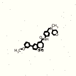 CCOc1cccc(-c2ccc3c(c2)C=C(C(=O)Nc2ccc(CN(C)C4CCOCC4)cc2)CCS3(=O)=O)c1